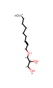 CCCCCCCCCCCCCC=CCOCC(O)CO